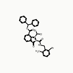 CCC(Cl)n1c2c(C(=O)OC(c3ccccc3)c3ccccc3)cccc2c(=O)n1C(=O)NCc1c(C)cccc1C(C)C